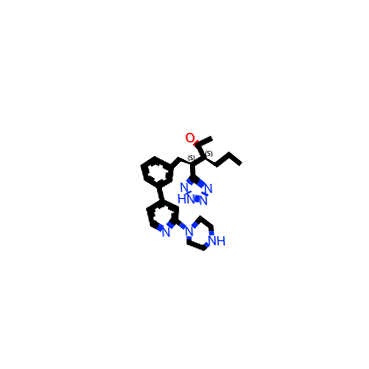 CCC[C@H](C(C)=O)[C@H](Cc1cccc(-c2ccnc(N3CCNCC3)c2)c1)c1nn[nH]n1